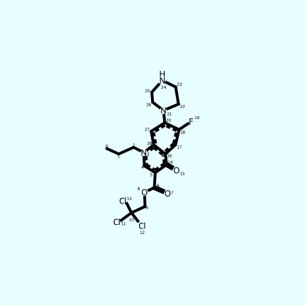 CCCn1cc(C(=O)OCC(Cl)(Cl)Cl)c(=O)c2cc(F)c(N3CCNCC3)cc21